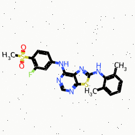 Cc1cccc(C)c1Nc1nc2c(Nc3ccc(S(C)(=O)=O)c(F)c3)ncnc2s1